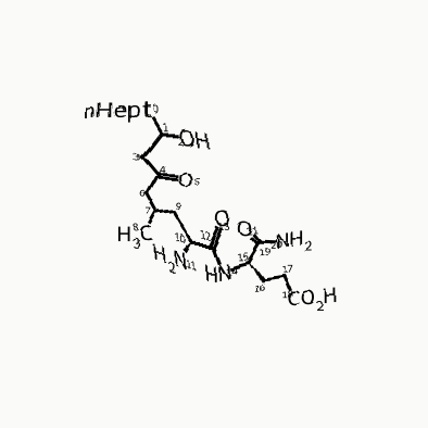 CCCCCCCC(O)CC(=O)CC(C)C[C@H](N)C(=O)N[C@H](CCC(=O)O)C(N)=O